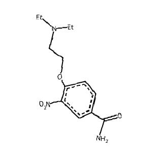 CCN(CC)CCOc1ccc(C(N)=O)cc1[N+](=O)[O-]